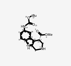 COC(=O)[C@@H]1CNCc2[nH]c3ccc(NC(=O)OC(C)(C)C)cc3c21